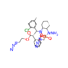 Cc1ccc(Cl)c(C2C(C(=O)OCCN=[N+]=[N-])c3ccccc3C(=O)N2C2CCCCC2N(N)S(=O)(=O)CN=[N+]=[N-])c1